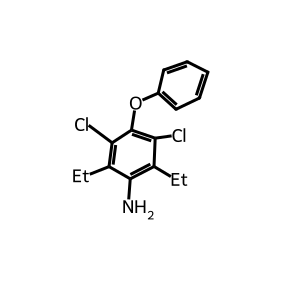 CCc1c(N)c(CC)c(Cl)c(Oc2ccccc2)c1Cl